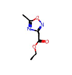 CCOC(=O)c1noc(C)n1